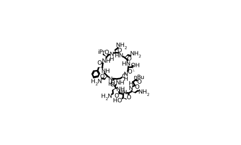 CCCCC(=O)CC(=O)N[C@@H](CCN)C(=O)N[C@H](C(=O)N[C@@H](CCN)C(=O)N[C@H]1CCNC(=O)[C@H]([C@@H](C)O)NC(=O)[C@H](CCN)NC(=O)[C@H](CCN)NC(=O)[C@H](CC(C)C)NC(=O)[C@@H](Cc2ccccc2)NC(=O)[C@H](CCN)NC1=O)[C@@H](C)O